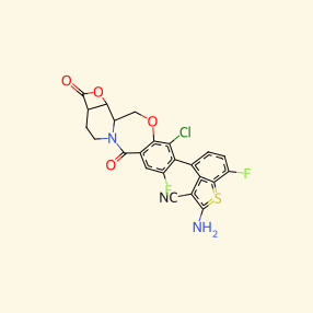 N#Cc1c(N)sc2c(F)ccc(-c3c(F)cc4c(c3Cl)OCC3C5OC(=O)C5CCN3C4=O)c12